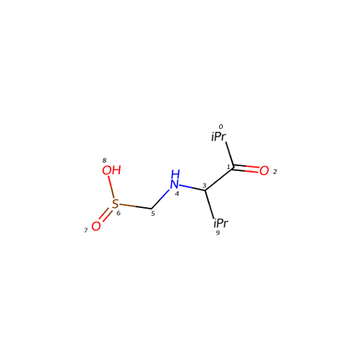 CC(C)C(=O)C(NCS(=O)O)C(C)C